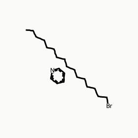 CCCCCCCCCCCCCCCCBr.c1ccncc1